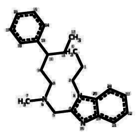 CCCn1c(CN(C)CCC(CC)c2ccccc2)nc2ccccc21